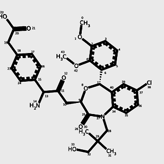 COc1cccc([C@H]2O[C@H](CC(=O)C(N)c3ccc(CC(=O)O)cc3)C(=O)N(CC(C)(C)CO)c3ccc(Cl)cc32)c1OC